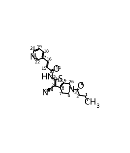 CCCC(=O)N1CCc2c(sc(NC(=O)C=Cc3cccnc3)c2C#N)C1